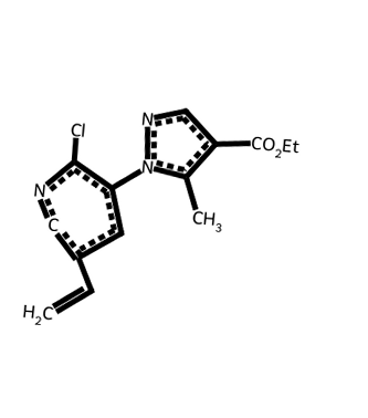 C=Cc1cnc(Cl)c(-n2ncc(C(=O)OCC)c2C)c1